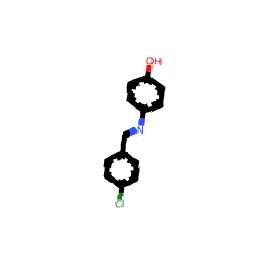 Oc1ccc(N=Cc2ccc(Cl)cc2)cc1